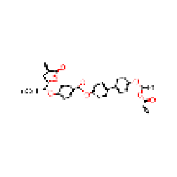 C=CC(=O)OC(CC)OC1=CC=C(C2=CC=C(OC(=O)c3ccc(OC(CCCCCCCC)C4CC(=C)C(=O)O4)cc3)CC2)CC1